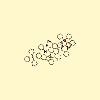 CC(C)c1ccc2c(N(c3c(F)cccc3-c3cccc([Si](c4ccccc4)(c4ccccc4)c4ccccc4)c3)c3cccc4c3oc3ccccc34)cc3c(C(C)C)ccc4c(N(c5c(F)cccc5-c5cccc([Si](c6ccccc6)(c6ccccc6)c6ccccc6)c5)c5cccc6c5oc5ccccc56)cc1c2c34